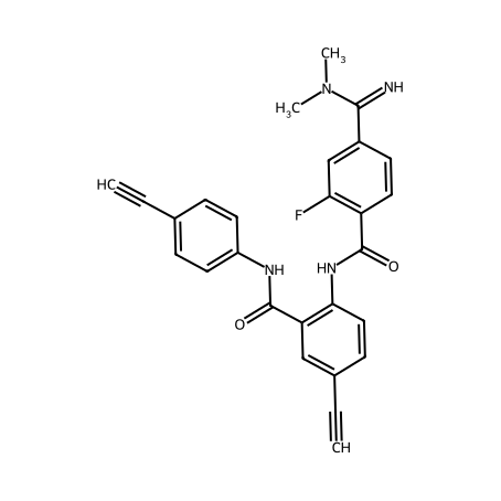 C#Cc1ccc(NC(=O)c2cc(C#C)ccc2NC(=O)c2ccc(C(=N)N(C)C)cc2F)cc1